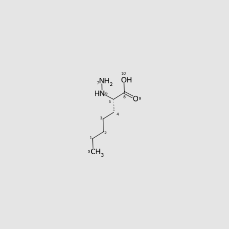 CCCCC[C@H](NN)C(=O)O